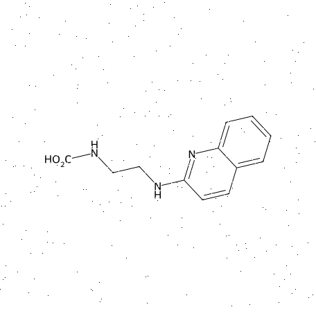 O=C(O)NCCNc1ccc2ccccc2n1